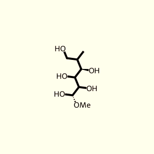 CO[C@H](O)C(O)C(O)[C@H](O)C(C)CO